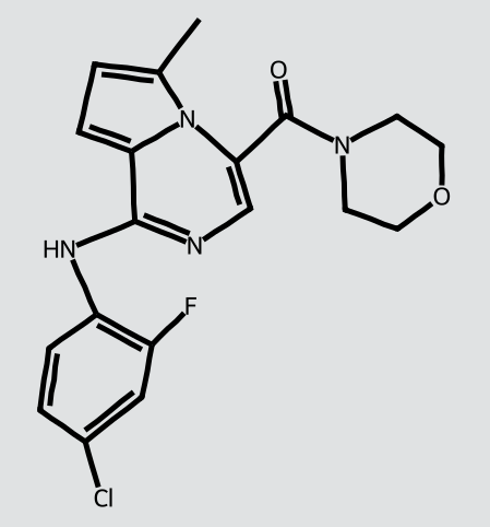 Cc1ccc2c(Nc3ccc(Cl)cc3F)ncc(C(=O)N3CCOCC3)n12